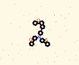 c1ccc2c(c1)oc1ccc(N(c3ccc(-c4ccc5ccc6oc7ccccc7c6c5c4)cc3)c3ccc4c(c3)sc3ccccc34)cc12